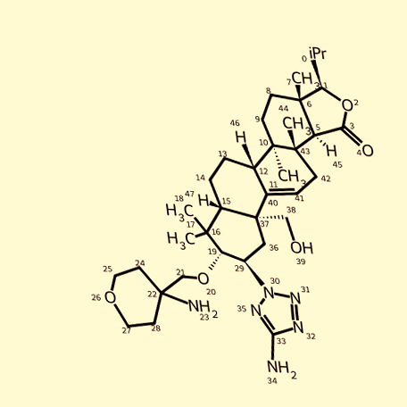 CC(C)[C@H]1OC(=O)[C@@H]2[C@]1(C)CC[C@]1(C)[C@H]3CC[C@H]4C(C)(C)[C@@H](OCC5(N)CCOCC5)[C@H](n5nnc(N)n5)C[C@]4(CO)C3=CC[C@@]21C